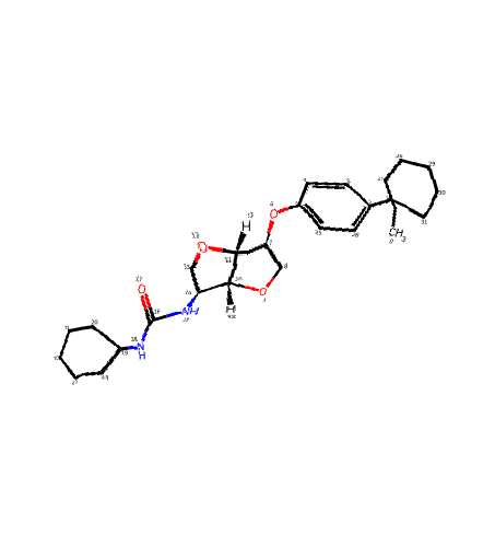 CC1(c2ccc(O[C@H]3CO[C@H]4[C@@H]3OC[C@@H]4NC(=O)NC3CCCCC3)cc2)CCCCC1